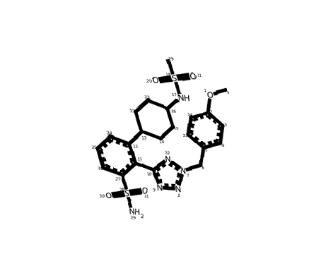 COc1ccc(Cn2nnc(-c3c(C4CCC(NS(C)(=O)=O)CC4)cccc3S(N)(=O)=O)n2)cc1